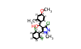 COc1ccc(C(O)c2c(Cl)nn(C)c2-c2c(F)cccc2F)c(C)c1